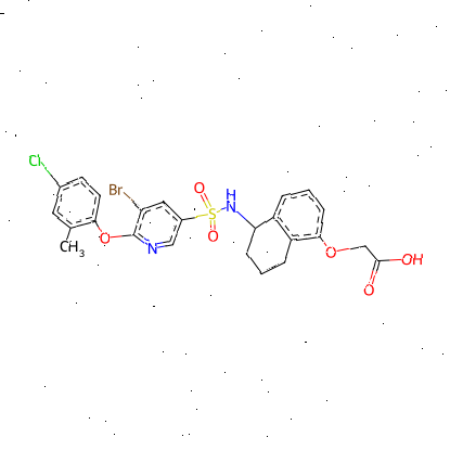 Cc1cc(Cl)ccc1Oc1ncc(S(=O)(=O)NC2CCCc3c(OCC(=O)O)cccc32)cc1Br